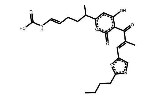 CCCCc1ncc(C=C(C)C(=O)c2c(O)cc(C(C)CCC=CNC(=O)O)oc2=O)s1